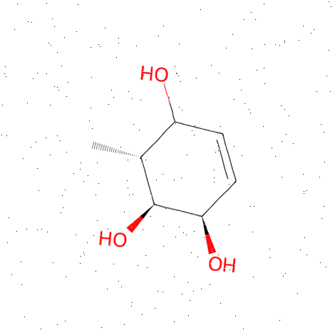 C[C@@H]1C(O)C=C[C@@H](O)[C@H]1O